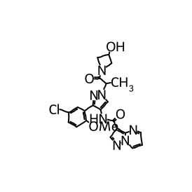 COc1ccc(Cl)cc1-c1nn(C(C)C(=O)N2CC(O)C2)cc1NC(=O)c1cnn2cccnc12